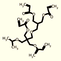 C=CC(=C)OCC(COCC(COC(=O)C=C)COC(=O)C=C)(COC(=O)C=C)COC(C)C